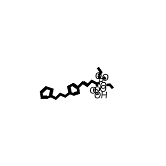 CCOP(=O)(OCC)C(C/C=C/c1ccc(CCCc2ccccc2)cc1)S(=O)(=O)O